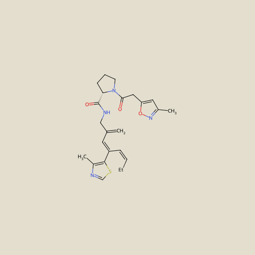 C=C(/C=C(\C=C/CC)c1scnc1C)CNC(=O)[C@@H]1CCCN1C(=O)Cc1cc(C)no1